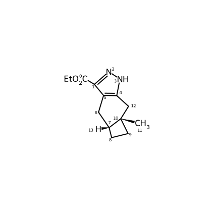 CCOC(=O)c1n[nH]c2c1C[C@H]1CC[C@@]1(C)C2